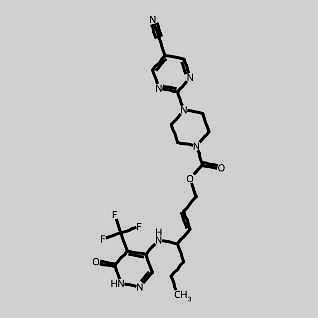 CCCC(/C=C/COC(=O)N1CCN(c2ncc(C#N)cn2)CC1)Nc1cn[nH]c(=O)c1C(F)(F)F